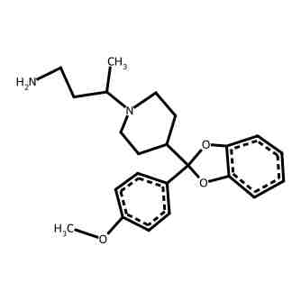 COc1ccc(C2(C3CCN(C(C)CCN)CC3)Oc3ccccc3O2)cc1